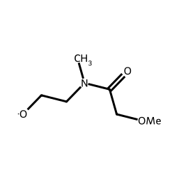 COCC(=O)N(C)CC[O]